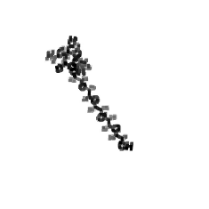 C=CC(=O)O.COC.OCCOCCOCCOCCOCCO